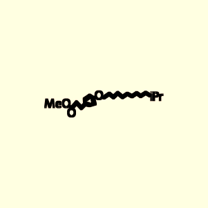 COC(=O)CCc1ccc(OCCCCCCCCCCC(C)C)cc1